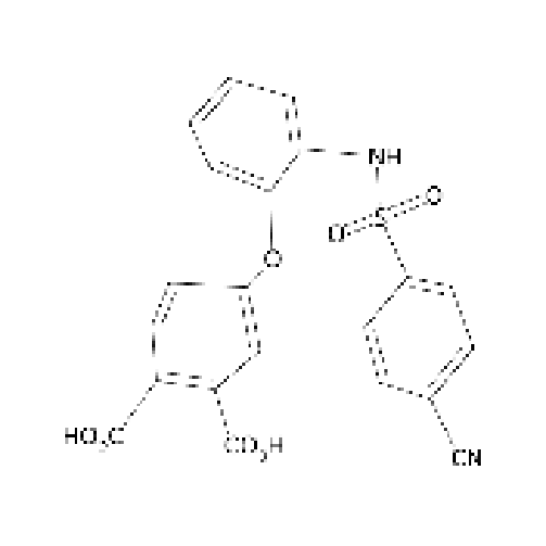 N#Cc1ccc(S(=O)(=O)Nc2ccccc2Oc2ccc(C(=O)O)c(C(=O)O)c2)cc1